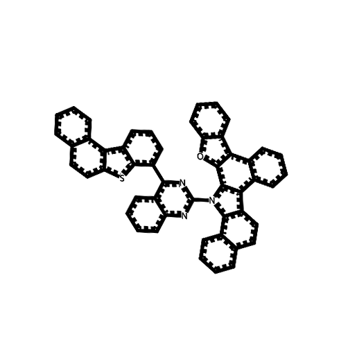 c1ccc2c(c1)ccc1sc3c(-c4nc(-n5c6c7ccccc7ccc6c6c7ccccc7c7c8ccccc8oc7c65)nc5ccccc45)cccc3c12